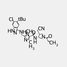 C=CC(=O)N1CC(CC#N)[C@@H](NC(=O)c2c(C)nc(CNc3n[nH]c4cc(Cl)c(C(C)(C)C)cc34)n2C)C1